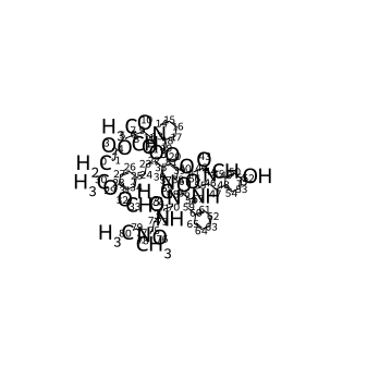 C=CC(=O)OCC(C)(C)C(=O)C(=O)N1CCCC[C@H]1C(=O)O[C@H](CCc1ccc(OC)c(OC)c1)c1cncc(OCC(=O)N(C)[C@@H](Cc2ccc(O)cc2)C(=O)N[C@H](Cc2ccccc2)C(=O)N(C)CC(=O)NCC(=O)N(C)CC)c1